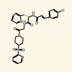 O=C(/C=C/c1ccc(Cl)cc1)N[C@@H](Cc1ccccn1)C(=O)NCC(=O)N1CCC(S(=O)(=O)c2ccccn2)CC1